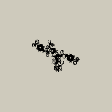 C[C@H]([C@@H]1C(=O)N2C(C(=O)OCc3ccc([N+](=O)[O-])cc3)=C(S[C@H]3C[C@@H](C(=O)N(C)C)N(C(=O)OCc4ccc([N+](=O)[O-])cc4)C3)[C@H](C)[C@@H]12)n1cnnn1